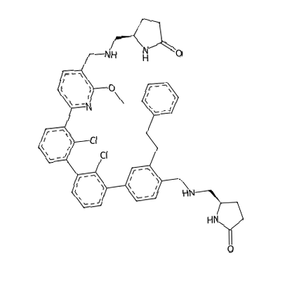 COc1nc(-c2cccc(-c3cccc(-c4ccc(CNC[C@H]5CCC(=O)N5)c(CCc5ccccc5)c4)c3Cl)c2Cl)ccc1CNC[C@H]1CCC(=O)N1